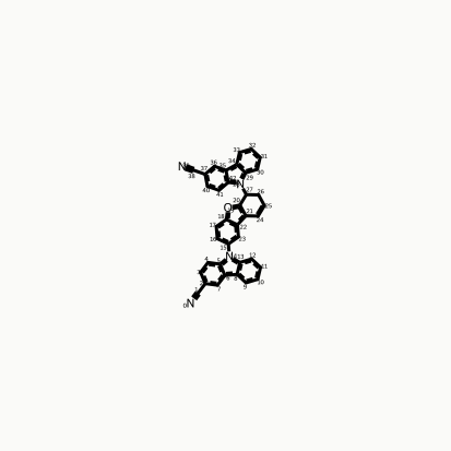 N#Cc1ccc2c(c1)c1ccccc1n2-c1ccc2oc3c(c2c1)C=CCC3n1c2ccccc2c2cc(C#N)ccc21